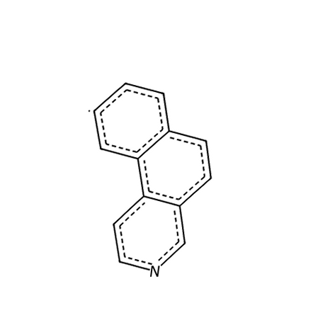 [c]1ccc2ccc3cnccc3c2c1